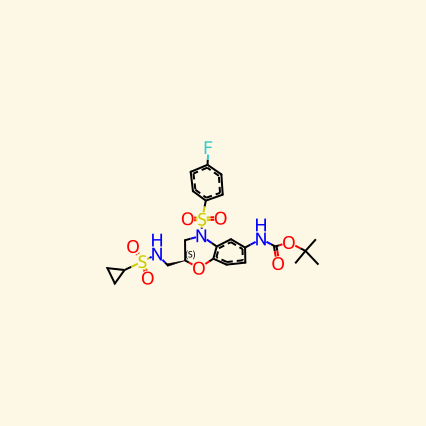 CC(C)(C)OC(=O)Nc1ccc2c(c1)N(S(=O)(=O)c1ccc(F)cc1)C[C@H](CNS(=O)(=O)C1CC1)O2